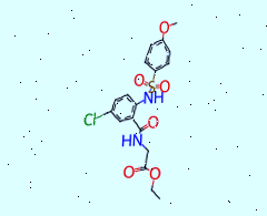 CCOC(=O)CNC(=O)c1cc(Cl)ccc1NS(=O)(=O)c1ccc(OC)cc1